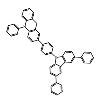 c1ccc(-c2ccc3c(c2)c2cc(-c4ccccc4)ccc2n3-c2ccc(-c3ccc4c(c3)Cc3ccccc3N4c3ccccc3)cc2)cc1